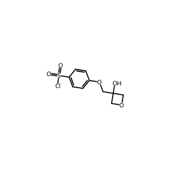 O=S(=O)(Cl)c1ccc(OCC2(O)COC2)cc1